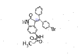 CCS(=O)(=O)Nc1ccc2c(c1)/C(=C(/c1ccccc1)c1ccc(Br)cc1)C(=O)N2